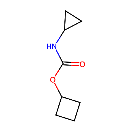 O=C(NC1CC1)OC1CCC1